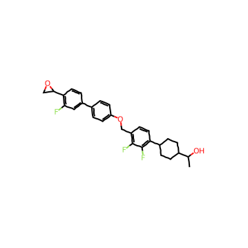 CC(O)C1CCC(c2ccc(COc3ccc(-c4ccc(C5CO5)c(F)c4)cc3)c(F)c2F)CC1